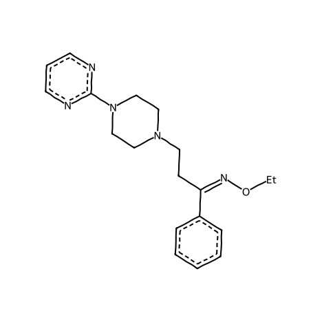 CCON=C(CCN1CCN(c2ncccn2)CC1)c1ccccc1